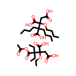 CCCCOC(CC(=O)O)(C(=O)O)C(CCCC)(CCCC)C(=O)O.CCOC(CC(=O)O)(C(=O)O)C(CC)(CC)C(=O)OC(C)=O